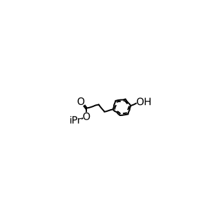 CC(C)OC(=O)CCc1ccc(O)cc1